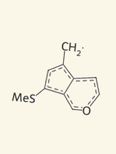 [CH2]c1cc(SC)c2coccc1-2